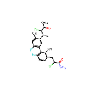 COC(=O)C(Cl)C(C)c1cc(-c2c(F)[c]cc(CC(Cl)C(N)=O)c2C#N)c(F)cc1C#N